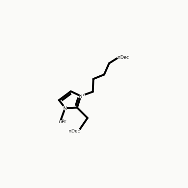 CCCCCCCCCCCCCC[n+]1ccn(CCC)c1CCCCCCCCCCC